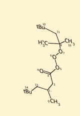 CC(CC(=O)OOOC(C)(C)CC(C)(C)C)CC(C)(C)C